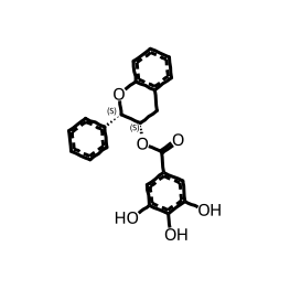 O=C(O[C@H]1Cc2ccccc2O[C@H]1c1ccccc1)c1cc(O)c(O)c(O)c1